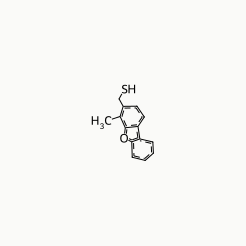 Cc1c(CS)ccc2c1oc1ccccc12